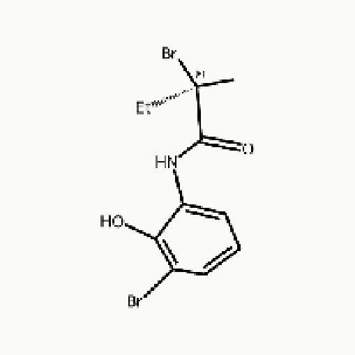 CC[C@@](C)(Br)C(=O)Nc1cccc(Br)c1O